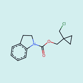 O=C(OCC1(CCl)CC1)N1CCc2ccccc21